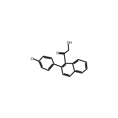 O=C(CO)c1c(-c2ccc(Cl)cc2)ccc2ccccc12